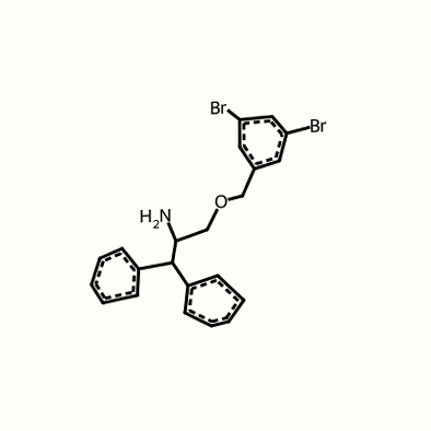 NC(COCc1cc(Br)cc(Br)c1)C(c1ccccc1)c1ccccc1